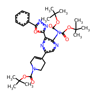 CC(C)(C)OC(=O)N1CC=C(c2cnc(N(C(=O)OC(C)(C)C)C(=O)OC(C)(C)C)c(-c3nnc(-c4ccccc4)o3)n2)CC1